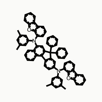 Cc1cc(C)cc(N(c2ccc3c(c2)C(c2ccccc2)(c2ccccc2)c2cc(N(c4cc(C)cc(C)c4)c4cccc5c4oc4ccccc45)c4ccccc4c2-3)c2cccc3c2oc2ccccc23)c1